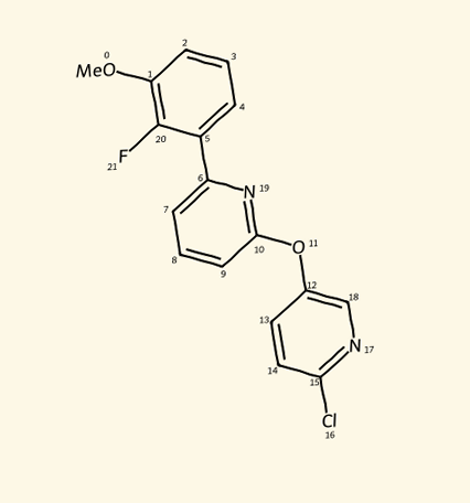 COc1cccc(-c2cccc(Oc3ccc(Cl)nc3)n2)c1F